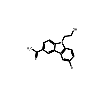 CC(=O)c1ccc2c(c1)c1cc(Br)ccc1n2CCO